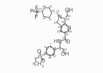 CCS(=O)(=O)c1ccc([C@H](CO)NC(=O)c2cnc3c(c2)CN(C[C@H]2CC[C@H](C(F)(F)F)CC2)[C@H]3CO)cc1